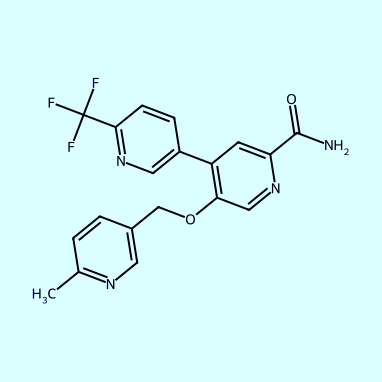 Cc1ccc(COc2cnc(C(N)=O)cc2-c2ccc(C(F)(F)F)nc2)cn1